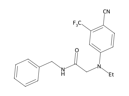 CCN(CC(=O)NCc1ccccc1)c1ccc(C#N)c(C(F)(F)F)c1